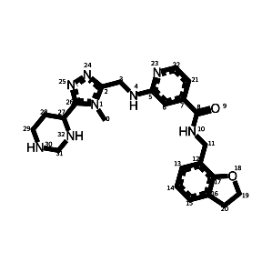 Cn1c(CNc2cc(C(=O)NCc3cccc4c3OCC4)ccn2)nnc1C1CCNCN1